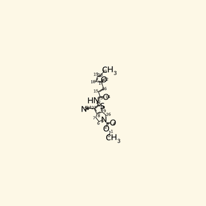 CCOC(=O)N1CCc2c(sc(NC(=O)/C=C/c3ccc(C)o3)c2C#N)C1